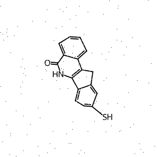 O=c1[nH]c2c(c3ccccc13)Cc1cc(S)ccc1-2